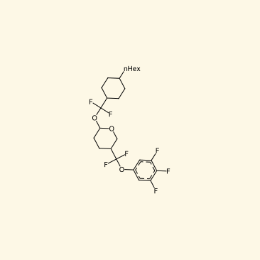 CCCCCCC1CCC(C(F)(F)OC2CCC(C(F)(F)Oc3cc(F)c(F)c(F)c3)CO2)CC1